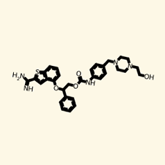 N=C(N)c1cc2c(OC(COC(=O)Nc3ccc(CN4CCN(CCO)CC4)cc3)c3ccccc3)cccc2s1